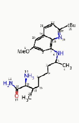 COc1cc(NC(C)CCCCC(C)[C@H](N)C(N)=O)c2nc(C(C)(C)C)ccc2c1